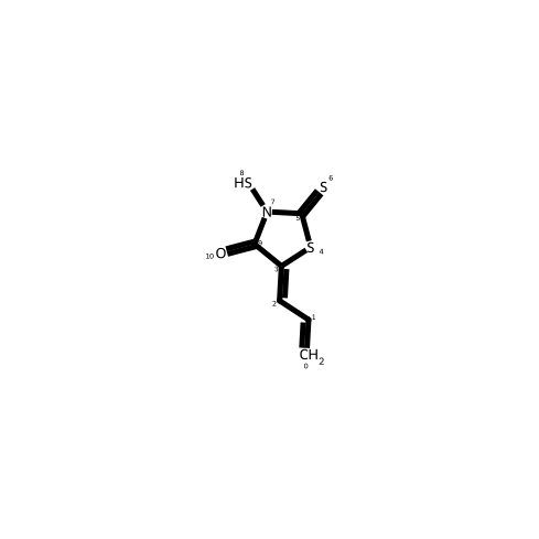 C=CC=C1SC(=S)N(S)C1=O